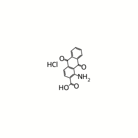 Cl.Nc1c(C(=O)O)ccc2c1C(=O)c1ccccc1C2=O